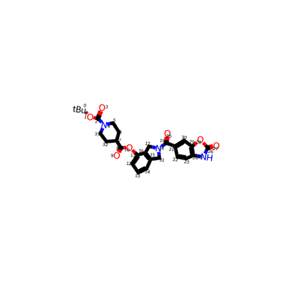 CC(C)(C)OC(=O)N1CCC(C(=O)Oc2cccc3c2CN(C(=O)c2ccc4[nH]c(=O)oc4c2)C3)CC1